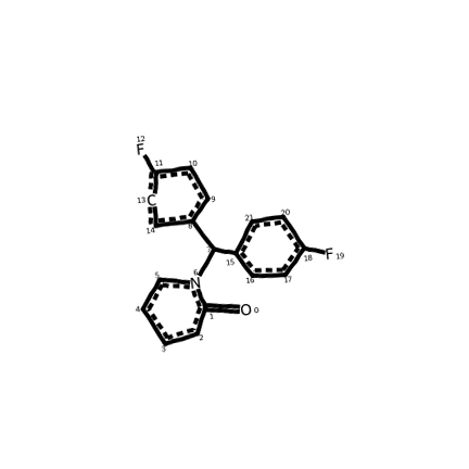 O=c1ccccn1C(c1ccc(F)cc1)c1ccc(F)cc1